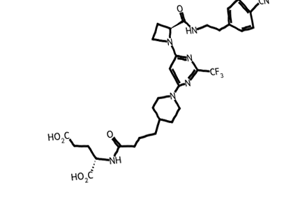 N#Cc1ccc(CCNC(=O)[C@@H]2CCN2c2cc(N3CCC(CCCC(=O)N[C@@H](CCC(=O)O)C(=O)O)CC3)nc(C(F)(F)F)n2)cc1